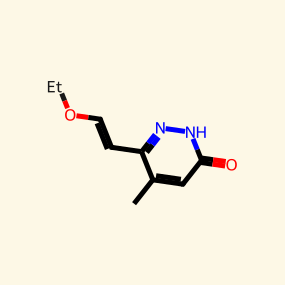 CCOC=Cc1n[nH]c(=O)cc1C